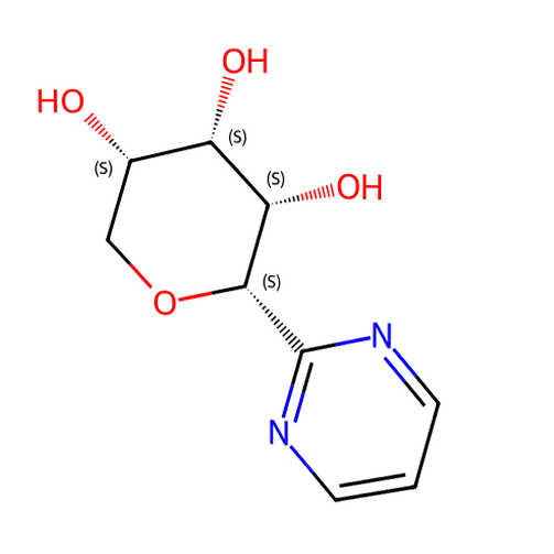 O[C@@H]1[C@H](O)[C@H](c2ncccn2)OC[C@@H]1O